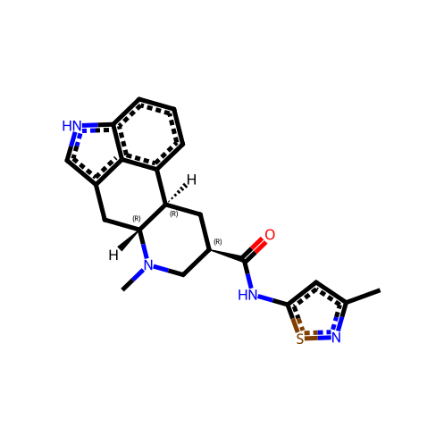 Cc1cc(NC(=O)[C@@H]2C[C@@H]3c4cccc5[nH]cc(c45)C[C@H]3N(C)C2)sn1